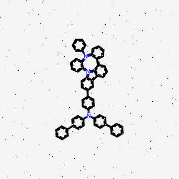 c1ccc(-c2ccc(N(c3ccc(-c4ccccc4)cc3)c3ccc(-c4ccc5c(c4)c4cccc6c7ccccc7n(-c7ccccc7)c7ccccc7n5c64)cc3)cc2)cc1